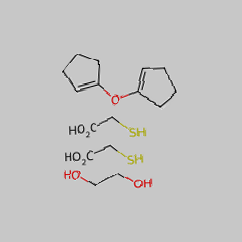 C1=C(OC2=CCCC2)CCC1.O=C(O)CS.O=C(O)CS.OCCO